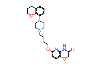 O=C1COc2ccc(OCCCCN3CCN(c4cccc5c4OCCC5)CC3)nc2N1